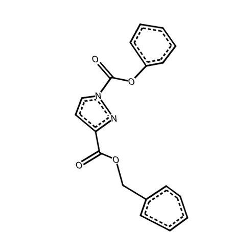 O=C(OCc1ccccc1)c1ccn(C(=O)Oc2ccccc2)n1